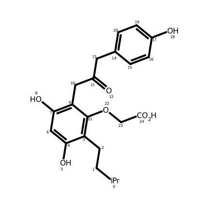 CC(C)CCc1c(O)cc(O)c(CC(=O)Cc2ccc(O)cc2)c1OCC(=O)O